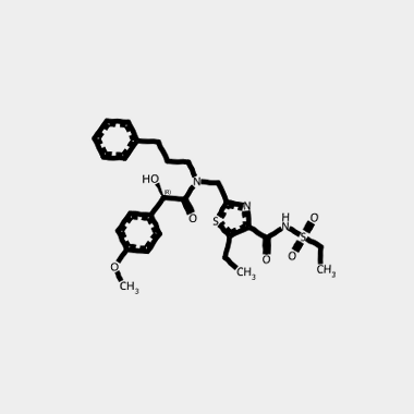 CCc1sc(CN(CCCc2ccccc2)C(=O)[C@H](O)c2ccc(OC)cc2)nc1C(=O)NS(=O)(=O)CC